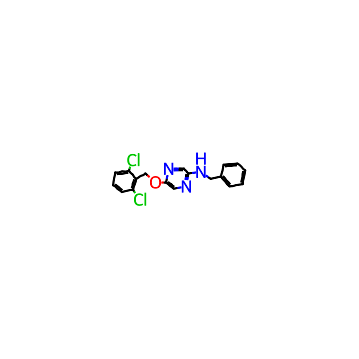 Clc1cccc(Cl)c1COc1cnc(NCc2ccccc2)cn1